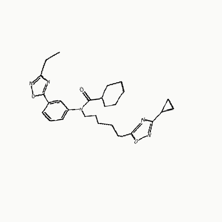 CCc1noc(-c2cccc(N(CCCCCc3nc(C4CC4)no3)C(=O)C3CCCCC3)c2)n1